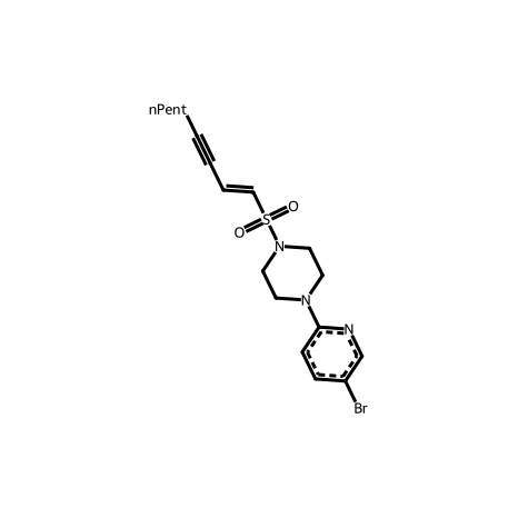 CCCCCC#CC=CS(=O)(=O)N1CCN(c2ccc(Br)cn2)CC1